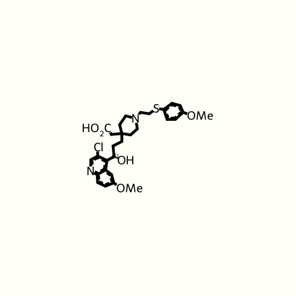 COc1ccc(SCCN2CCC(CC[C@H](O)c3c(Cl)cnc4ccc(OC)cc34)(CC(=O)O)CC2)cc1